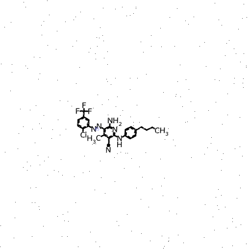 CCCCc1ccc(Nc2nc(N)c(/N=N/c3cc(C(F)(F)F)ccc3Cl)c(C)c2C#N)cc1